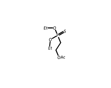 CCOP(=S)(CCOC(C)=O)OCC